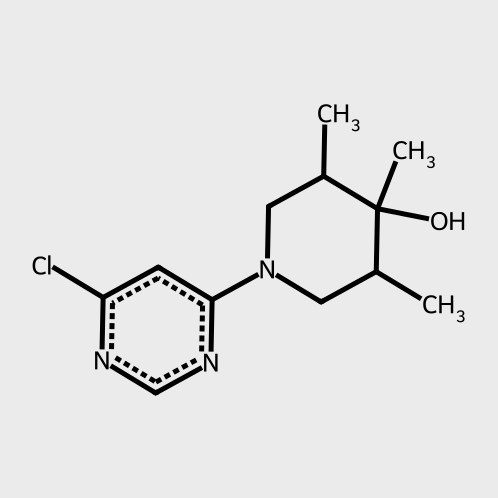 CC1CN(c2cc(Cl)ncn2)CC(C)C1(C)O